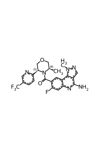 C[C@@H]1COC[C@H](c2ccc(C(F)(F)F)cn2)N1C(=O)c1cc2c(cc1F)nc(N)c1cnn(C)c12